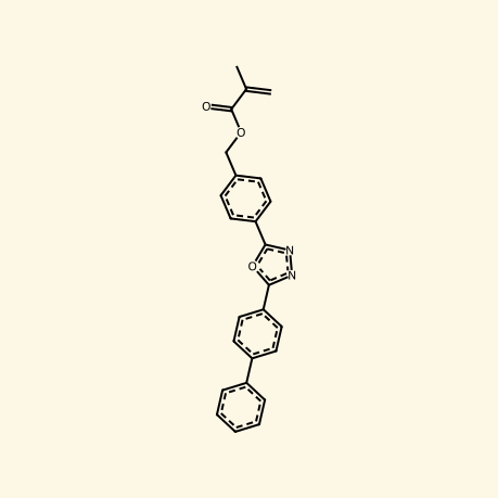 C=C(C)C(=O)OCc1ccc(-c2nnc(-c3ccc(-c4ccccc4)cc3)o2)cc1